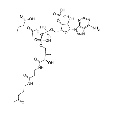 CC(=O)O.CC(=O)SCCNC(=O)CCNC(=O)[C@H](O)C(C)(C)COP(=O)(O)OP(=O)(O)OC[C@H]1O[C@@H](n2cnc3c(N)ncnc32)[C@H](O)[C@@H]1OP(=O)(O)O.CCCC(=O)O